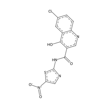 O=C(Nc1ncc([N+](=O)[O-])s1)c1cnc2ccc(Cl)cc2c1O